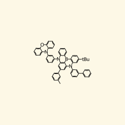 Cc1cccc(-c2cc3c4c(c2)N(c2cccc(-c5ccccc5)c2)c2cc(C(C)(C)C)ccc2B4c2ccccc2N3c2cccc(N3c4ccccc4Oc4ccccc43)c2)c1